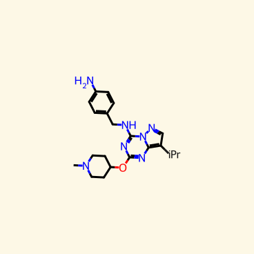 CC(C)c1cnn2c(NCc3ccc(N)cc3)nc(OC3CCN(C)CC3)nc12